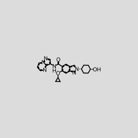 O=C(Nc1cnn2cccnc12)c1cc2cn([C@H]3CC[C@H](O)CC3)nc2cc1OC1CC1